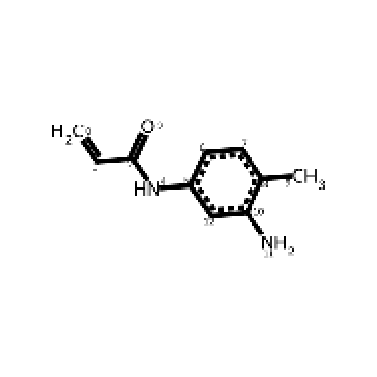 C=CC(=O)Nc1ccc(C)c(N)c1